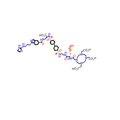 O=C(O)CN1CCN(CC(=O)O)CCN(CC(=O)N[C@@H](CSOOO)C(=O)NCCNS(=O)(=O)c2ccc(-c3ccc(S(=O)(=O)N[C@@H](CNC(=O)c4ccc5c(cnn5CCCNc5ncc[nH]5)c4)C(=O)O)cc3)cc2)CCN(CC(=O)O)CC1